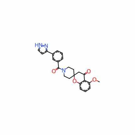 COc1cccc2c1C(=O)CC1(CCN(C(=O)c3cccc(-c4cc[nH]n4)c3)CC1)O2